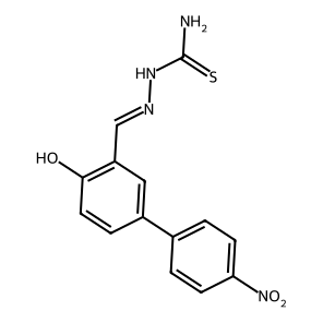 NC(=S)NN=Cc1cc(-c2ccc([N+](=O)[O-])cc2)ccc1O